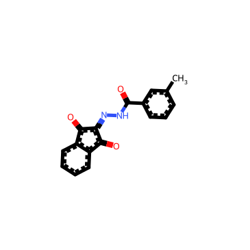 Cc1cccc(C(=O)NN=c2c(=O)c3ccccc3c2=O)c1